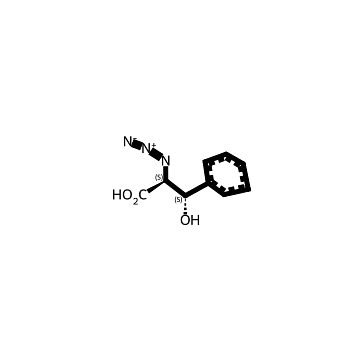 [N-]=[N+]=N[C@H](C(=O)O)[C@@H](O)c1ccccc1